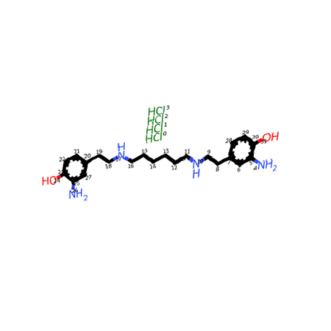 Cl.Cl.Cl.Cl.Nc1cc(CCNCCCCCCNCCc2ccc(O)c(N)c2)ccc1O